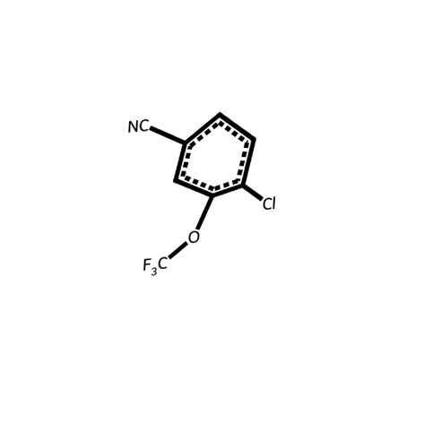 N#Cc1ccc(Cl)c(OC(F)(F)F)c1